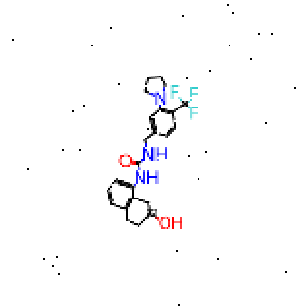 O=C(NCc1ccc(C(F)(F)F)c(N2CCCC2)c1)Nc1cccc2c1C[C@@H](O)CC2